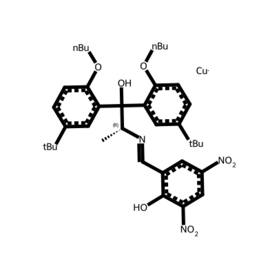 CCCCOc1ccc(C(C)(C)C)cc1C(O)(c1cc(C(C)(C)C)ccc1OCCCC)[C@@H](C)N=Cc1cc([N+](=O)[O-])cc([N+](=O)[O-])c1O.[Cu]